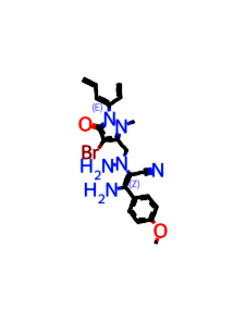 C=C/C=C(\C=C)n1c(=O)c(Br)c(CN(N)/C(C#N)=C(\N)c2ccc(OC)cc2)n1C